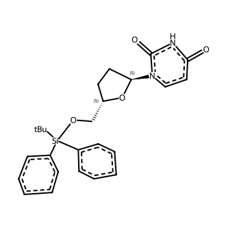 CC(C)(C)[Si](OC[C@@H]1CC[C@@H](n2ccc(=O)[nH]c2=O)O1)(c1ccccc1)c1ccccc1